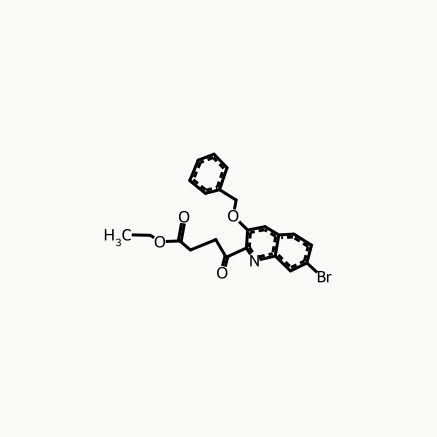 CCOC(=O)CCC(=O)c1nc2cc(Br)ccc2cc1OCc1ccccc1